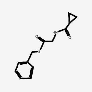 O=C(CNC(=O)C1CC1)SCc1ccccc1